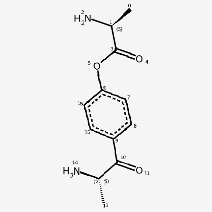 C[C@H](N)C(=O)Oc1ccc(C(=O)[C@H](C)N)cc1